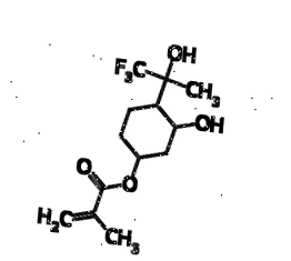 C=C(C)C(=O)OC1CCC(C(C)(O)C(F)(F)F)C(O)C1